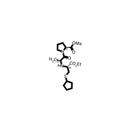 CCOC(=O)[C@H](CSC1CCCC1)N[C@@H](C)C(=O)N1CCC[C@H]1C(=O)OC